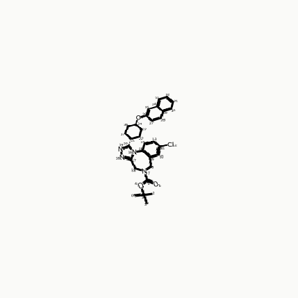 CC(C)(C)OC(=O)N1Cc2cc(Cl)ccc2-n2c(nnc2[C@H]2CC[C@H](Oc3ccc4ccccc4c3)CC2)C1